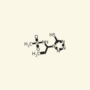 C=CC(NS(C)(=O)=O)n1nnnc1S